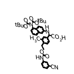 Cc1cc(C(Nc2ccc3c(N(C(=O)OC(C)(C)C)C(=O)OC(C)(C)C)cccc3c2)C(=O)O)ccc1CCOC(=O)Nc1cccc(C#N)c1